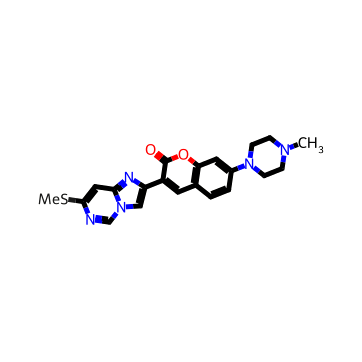 CSc1cc2nc(-c3cc4ccc(N5CCN(C)CC5)cc4oc3=O)cn2cn1